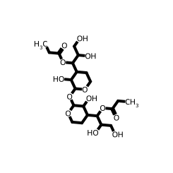 CCC(=O)OC(C(O)CO)C1CCOC(OC2OCCC(C(OC(=O)CC)C(O)CO)C2O)C1O